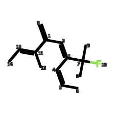 C=C(/C=C(\C=C/C)C(C)(C)F)/C(C)=C/C